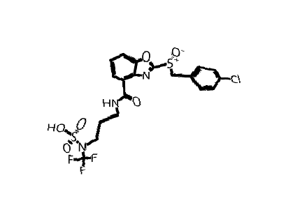 O=C(NCCCN(C(F)(F)F)S(=O)(=O)O)c1cccc2oc([S+]([O-])Cc3ccc(Cl)cc3)nc12